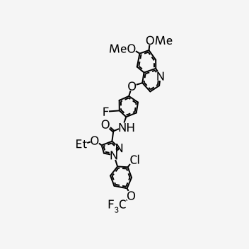 CCOc1cn(-c2ccc(OC(F)(F)F)cc2Cl)nc1C(=O)Nc1ccc(Oc2ccnc3cc(OC)c(OC)cc23)cc1F